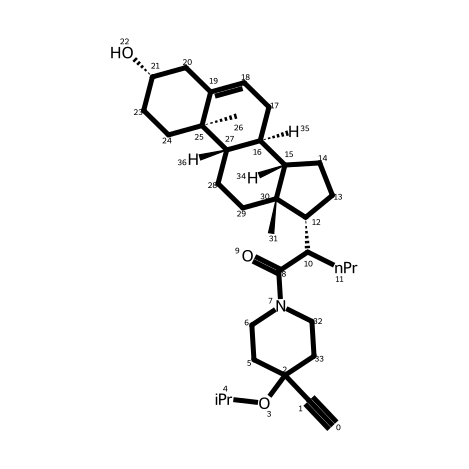 C#CC1(OC(C)C)CCN(C(=O)C(CCC)[C@H]2CC[C@H]3[C@@H]4CC=C5C[C@@H](O)CC[C@]5(C)[C@H]4CC[C@@]23C)CC1